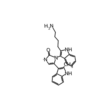 Cc1[nH]c2ccccc2c1C1=C[N]C(=O)N1c1c(CCCCN)[nH]c2ccccc12